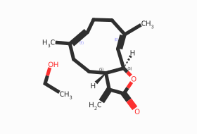 C=C1C(=O)O[C@@H]2/C=C(\C)CC/C=C(\C)CC[C@@H]12.CCO